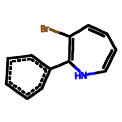 BrC1=C(c2ccccc2)NC=CC=C1